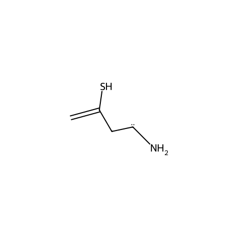 C=C(S)C[C]N